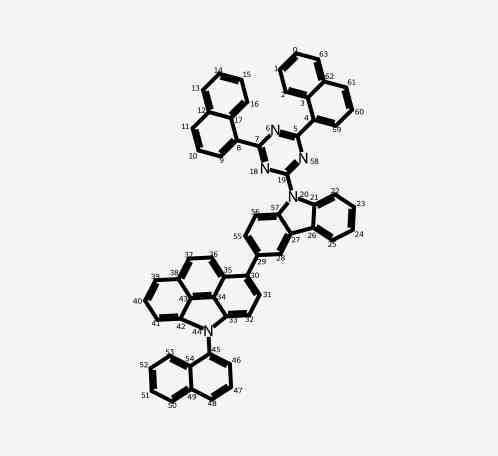 c1ccc2c(-c3nc(-c4cccc5ccccc45)nc(-n4c5ccccc5c5cc(-c6ccc7c8c6ccc6cccc(c68)n7-c6cccc7ccccc67)ccc54)n3)cccc2c1